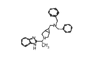 CC(c1nc2ccccc2[nH]1)N1CC2C(CN(Cc3ccccc3)Cc3ccccc3)C2C1